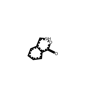 O=c1o[siH]cc2ccccc12